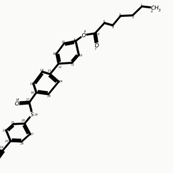 CCCCCCC(=O)Oc1ccc(-c2ccc(C(=O)Sc3ccc(C#N)cc3)cc2)cc1